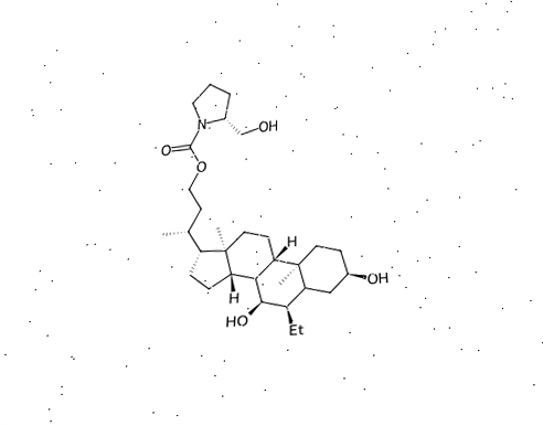 CC[C@@H]1C2C[C@H](O)CC[C@]2(C)[C@H]2CC[C@]3(C)[C@@H]([C@H](C)CCOC(=O)N4CCC[C@@H]4CO)CC[C@H]3C2[C@@H]1O